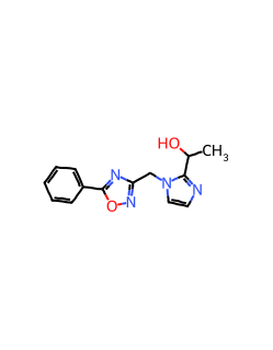 CC(O)c1nccn1Cc1noc(-c2ccccc2)n1